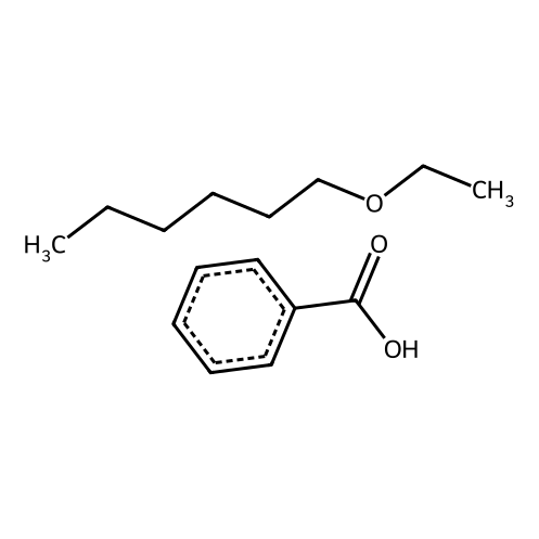 CCCCCCOCC.O=C(O)c1ccccc1